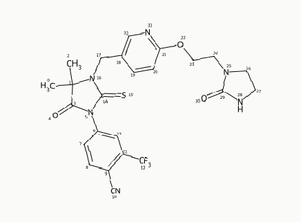 CC1(C)C(=O)N(c2ccc(C#N)c(C(F)(F)F)c2)C(=S)N1Cc1ccc(OCCN2CCNC2=O)nc1